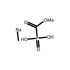 COC(=O)P(=O)(O)O.[CH3][Na]